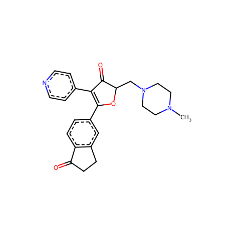 CN1CCN(CC2OC(c3ccc4c(c3)CCC4=O)=C(c3ccncc3)C2=O)CC1